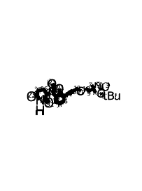 CN(C(=O)OC(C)(C)C)C(C)(C)CCOCC#Cc1cccc2c1oc(=O)n2C1CCC(=O)NC1=O